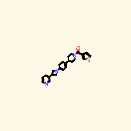 O=C(c1ccsc1)N1CCC(c2ccc(N3CC(c4cccnc4)C3)cc2)CC1